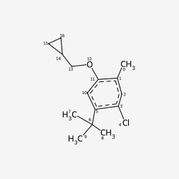 Cc1cc(Cl)c(C(C)(C)C)cc1OCC1CC1